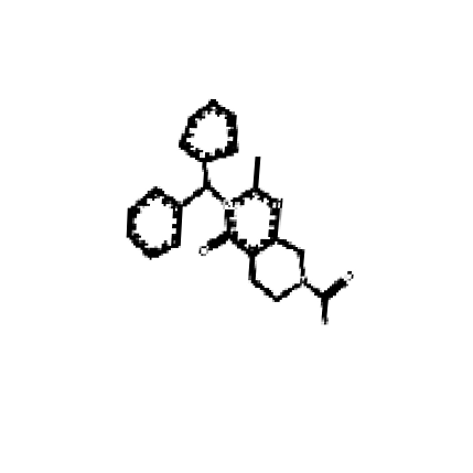 CC(=O)N1CCc2c(nc(C)n(C(c3ccccc3)c3ccccc3)c2=O)C1